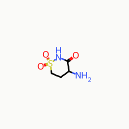 NC1CCS(=O)(=O)NC1=O